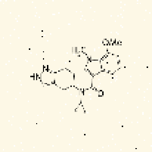 COc1cccc2c(C(=O)N(C3CC3)C3CCc4n[nH]cc4C3)cn(C)c12